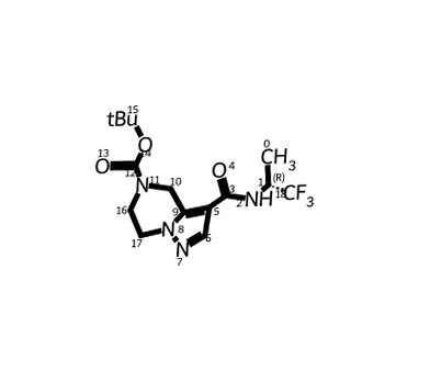 C[C@@H](NC(=O)c1cnn2c1CN(C(=O)OC(C)(C)C)CC2)C(F)(F)F